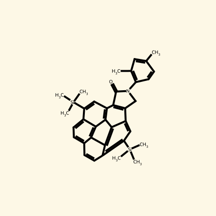 Cc1ccc(N2Cc3c(c4cc([Si](C)(C)C)c5ccc6ccc7c([Si](C)(C)C)cc3c3c7c6c5c43)C2=O)c(C)c1